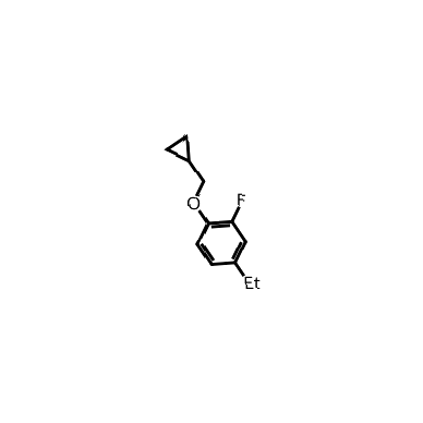 CCc1ccc(OCC2CC2)c(F)c1